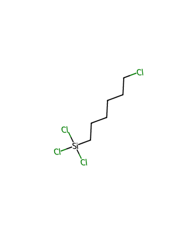 ClCCCCCC[Si](Cl)(Cl)Cl